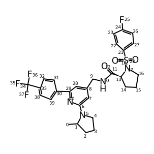 CC1CCCN1c1cc(CNC(=O)[C@@H]2CCCN2S(=O)(=O)c2ccc(F)cc2)cc(-c2ccc(C(F)(F)F)cc2)n1